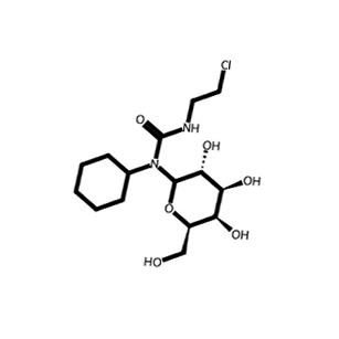 O=C(NCCCl)N(C1CCCCC1)C1O[C@H](CO)[C@H](O)[C@H](O)[C@H]1O